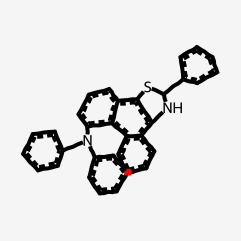 c1ccc(C2Nc3c(c4cccc(N(c5ccccc5)c5ccccc5)c4c4ccccc34)S2)cc1